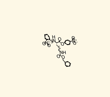 O=C(NCSC[C@H](NSc1ccccc1[N+](=O)[O-])C(=O)Oc1ccc([N+](=O)[O-])cc1)OCc1ccccc1